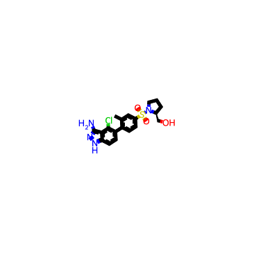 Cc1cc(S(=O)(=O)N2CCC[C@H]2CO)ccc1-c1ccc2[nH]nc(N)c2c1Cl